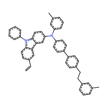 C=Cc1ccc2c(c1)c1cc(N(c3ccc(-c4ccc(CCc5cccc(C)c5)cc4)cc3)c3cccc(C)c3)ccc1n2-c1ccccc1